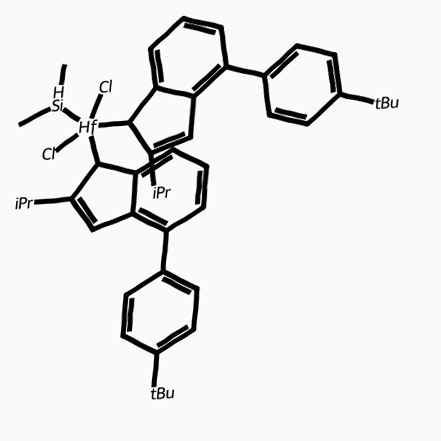 CC(C)C1=Cc2c(-c3ccc(C(C)(C)C)cc3)cccc2[CH]1[Hf]([Cl])([Cl])([CH]1C(C(C)C)=Cc2c(-c3ccc(C(C)(C)C)cc3)cccc21)[SiH](C)C